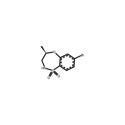 C[C@@H]1CNS(=O)(=O)c2ccc(Br)cc2O1